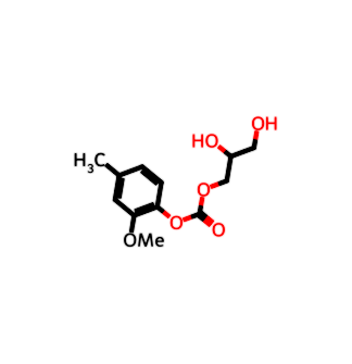 COc1cc(C)ccc1OC(=O)OCC(O)CO